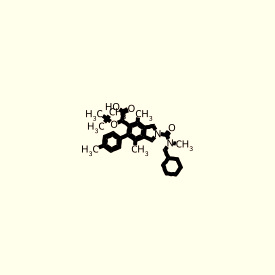 Cc1ccc(-c2c(C)c3c(c(C)c2C(OC(C)(C)C)C(=O)O)CN(C(=O)N(C)CC2CCCCC2)C3)cc1